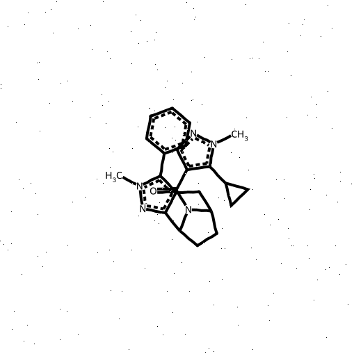 Cn1nc2c(c1-c1ccccc1)CC1CCC2N1C(=O)c1cnn(C)c1C1CC1